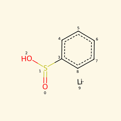 O=S(O)c1ccccc1.[Li]